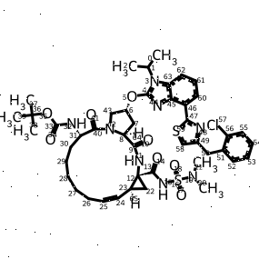 CC(C)n1c(O[C@@H]2C[C@H]3C(=O)N[C@]4(C(=O)NS(=O)(=O)N(C)C)C[C@H]4/C=C\CCCCC[C@H](NC(=O)OC(C)(C)C)C(=O)N3C2)nc2c(-c3nc(Cc4ccccc4Cl)cs3)cccc21